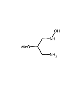 COC(CN)CNO